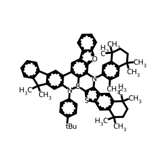 Cc1cc2c(cc1N1c3c(sc4cc5c(cc34)C(C)(C)CCC5(C)C)B3c4c(cc5c(oc6ccccc65)c41)-c1cc4c(cc1N3c1ccc(C(C)(C)C)cc1)C(C)(C)c1ccccc1-4)C(C)(C)CCC2(C)C